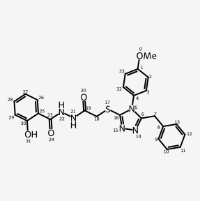 COc1ccc(-n2c(Cc3ccccc3)nnc2SCC(=O)NNC(=O)c2ccccc2O)cc1